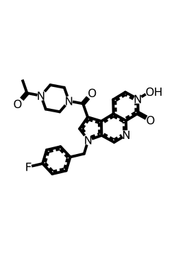 CC(=O)N1CCN(C(=O)c2cn(Cc3ccc(F)cc3)c3cnc4c(=O)n(O)ccc4c23)CC1